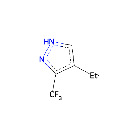 C[CH]c1c[nH]nc1C(F)(F)F